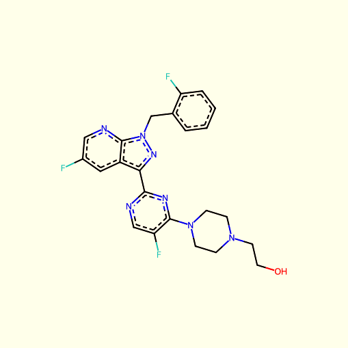 OCCN1CCN(c2nc(-c3nn(Cc4ccccc4F)c4ncc(F)cc34)ncc2F)CC1